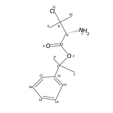 CC(C)(OC(=O)[C@@H](N)C(C)(C)Cl)c1ccccc1